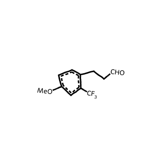 COc1ccc(CCC=O)c(C(F)(F)F)c1